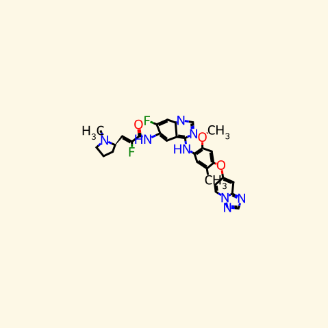 COc1cc(Oc2ccn3ncnc3c2)c(C)cc1Nc1ncnc2cc(F)c(NC(=O)/C(F)=C/[C@H]3CCCN3C)cc12